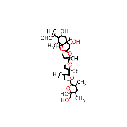 CC[C@@]1([C@@H]2O[C@H]([C@H]3OC(O)(CO)[C@H](C)CC3C)C[C@@H]2C)CC[C@H]([C@]2(C)CC[C@]3(C[C@H](O)[C@H]4C[C@@H](O)C([C@H](C)C=O)[C@H](C)[C@H]4O3)O2)O1